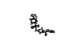 Cc1ccc(S(=O)(=O)CC2CN(C(=O)OC(C)(C)C)C2)cc1